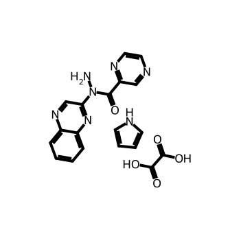 NN(C(=O)c1cnccn1)c1cnc2ccccc2n1.O=C(O)C(=O)O.c1cc[nH]c1